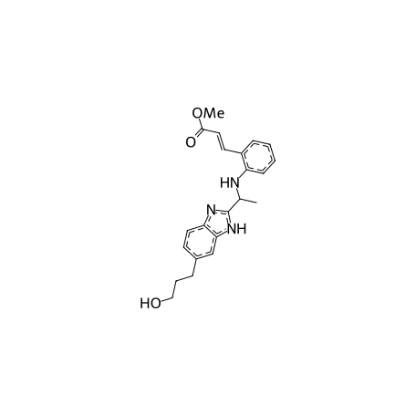 COC(=O)/C=C/c1ccccc1NC(C)c1nc2ccc(CCCO)cc2[nH]1